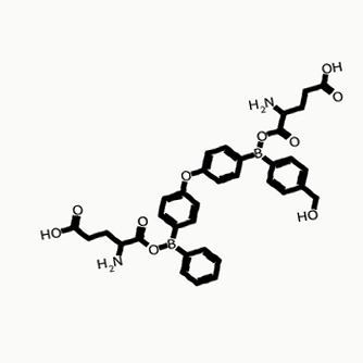 NC(CCC(=O)O)C(=O)OB(c1ccccc1)c1ccc(Oc2ccc(B(OC(=O)C(N)CCC(=O)O)c3ccc(CO)cc3)cc2)cc1